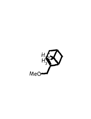 COCC1=CCC2CC1C2(C)C